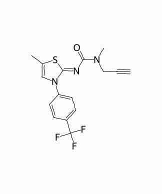 C#CCN(C)C(=O)/N=c1\sc(C)cn1-c1ccc(C(F)(F)F)cc1